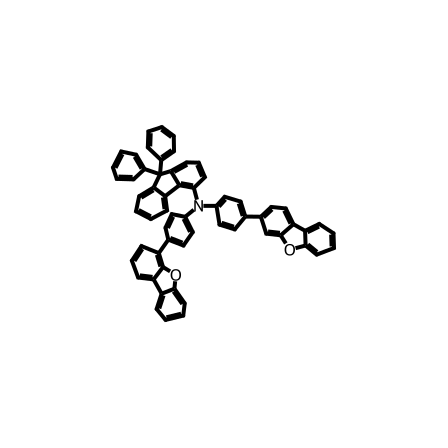 c1ccc(C2(c3ccccc3)c3ccccc3-c3c(N(c4ccc(-c5ccc6c(c5)oc5ccccc56)cc4)c4ccc(-c5cccc6c5oc5ccccc56)cc4)cccc32)cc1